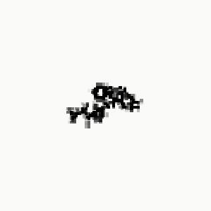 CON1CC(C)NCC1C(=O)Nc1ccccc1Sc1cnc(NC(=O)C2CC2)s1